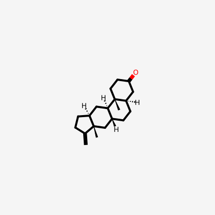 C=C1CC[C@H]2C[C@@H]3[C@H](CC[C@@H]4CC(=O)CC[C@]43C)C[C@]12C